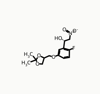 CC1(C)OCC(COc2ccc(F)c([C@H](O)C[N+](=O)[O-])c2)O1